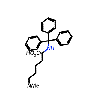 CNCCCC[C@H](NC(c1ccccc1)(c1ccccc1)c1ccccc1)C(=O)O